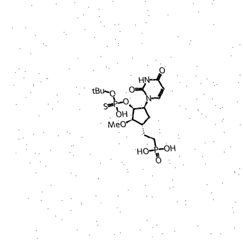 CO[C@@H]1[C@@H](CCP(=O)(O)O)C[C@H](n2ccc(=O)[nH]c2=O)[C@@H]1OP(O)(=S)OC(C)(C)C